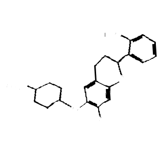 CCOC(=O)C1CCC(Oc2cc3c(cc2C)OC(c2ccccc2C)CC3)CC1